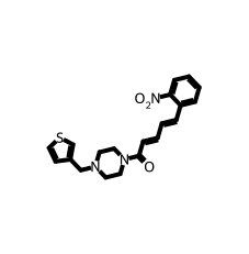 O=C(C=CC=Cc1ccccc1[N+](=O)[O-])N1CCN(Cc2ccsc2)CC1